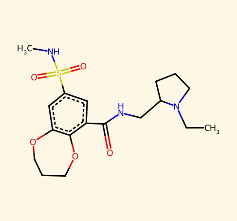 CCN1CCCC1CNC(=O)c1cc(S(=O)(=O)NC)cc2c1OCCCO2